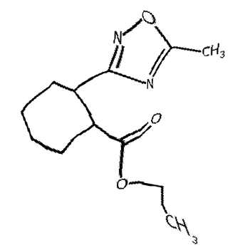 CCOC(=O)C1CCCCC1c1noc(C)n1